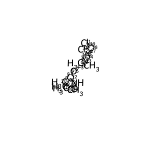 CC(C)(CCCOc1ccc2c(c1)NC(=O)C(C)(C)C2(C)C)N1CCN(c2cccc(Cl)c2Cl)CC1